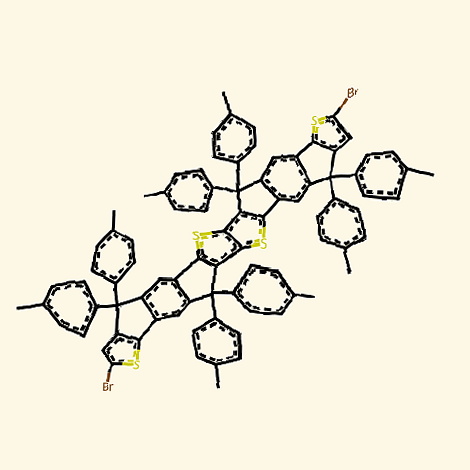 Cc1ccc(C2(c3ccc(C)cc3)c3cc4c(cc3-c3sc(Br)cc32)C(c2ccc(C)cc2)(c2ccc(C)cc2)c2c-4sc3c4c(sc23)-c2cc3c(cc2C4(c2ccc(C)cc2)c2ccc(C)cc2)-c2sc(Br)cc2C3(c2ccc(C)cc2)c2ccc(C)cc2)cc1